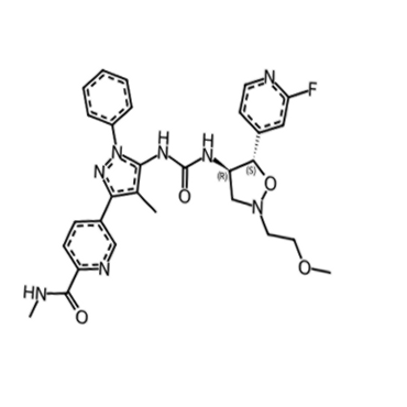 CNC(=O)c1ccc(-c2nn(-c3ccccc3)c(NC(=O)N[C@@H]3CN(CCOC)O[C@H]3c3ccnc(F)c3)c2C)cn1